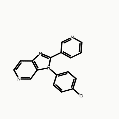 Clc1ccc(-n2c(-c3cccnc3)nc3ccncc32)cc1